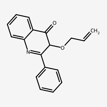 C=CCOC1C(=O)c2ccccc2N=C1c1ccccc1